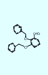 O=[C]c1cccc(OCc2ccccc2)c1OCc1ccccc1